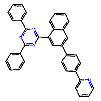 c1ccc(-c2nc(-c3ccccc3)nc(-c3cc(-c4ccc(-c5ccccn5)cc4)cc4ccccc34)n2)cc1